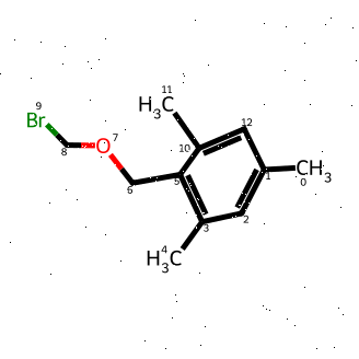 Cc1cc(C)c(COCBr)c(C)c1